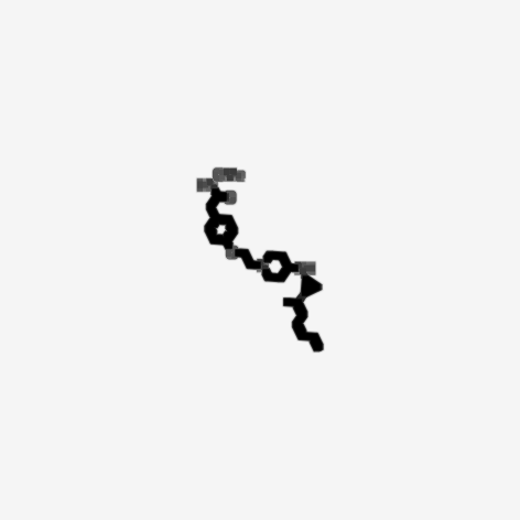 C=C/C=C\C=C(/C)[C@@H]1C[C@H]1NC1CCN(CCOc2ccc(CC(=O)NOC)cc2)CC1